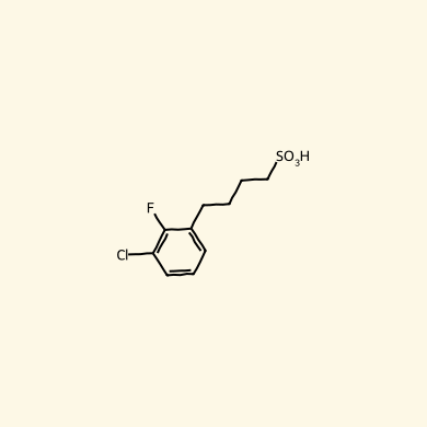 O=S(=O)(O)CCCCc1cccc(Cl)c1F